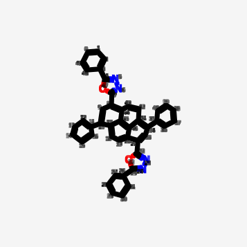 c1ccc(-c2nnc(-c3cc(-c4ccccc4)c4ccc5c(-c6nnc(-c7ccccc7)o6)cc(-c6ccccc6)c6ccc3c4c65)o2)cc1